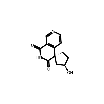 O=C1NC(=O)[C@@]2(CC[C@@H](O)C2)c2ccncc21